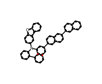 c1ccc(-c2ccccc2N(c2cccc(-c3ccc4cc(-c5ccc6ccccc6c5)ccc4c3)c2)c2ccc3oc4ccccc4c3c2)cc1